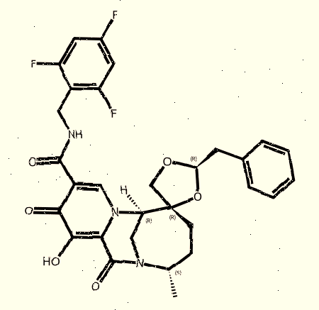 C[C@H]1CC[C@]2(CO[C@@H](Cc3ccccc3)O2)[C@H]2CN1C(=O)c1c(O)c(=O)c(C(=O)NCc3c(F)cc(F)cc3F)cn12